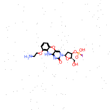 NCCOc1cccc2c1Nc1nc(=O)n([C@H]3C[C@@H](OP(=O)(O)I)[C@@H](CO)O3)cc1O2